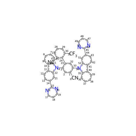 N#Cc1cc(-n2c3ccccc3c3ccc(-c4ncccn4)cc32)c(-c2c(C#N)cccc2C(F)(F)F)cc1-n1c2ccccc2c2ccc(-c3ncccn3)cc21